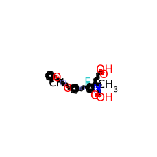 Cc1ccccc1OC/C=C/COc1ccc(/C=C/c2ccc3c(c2F)c(CCCC(=O)O)c(C)n3CC(=O)O)cc1